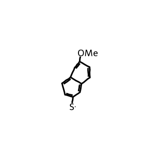 COc1ccc2cc([S])ccc2c1